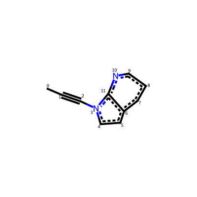 CC#Cn1ccc2cccnc21